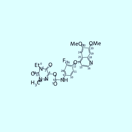 CCn1c(=O)c(OC(=O)Nc2ccc(Oc3ccnc4cc(OC)c(OC)cc34)c(F)c2)nn(C)c1=O